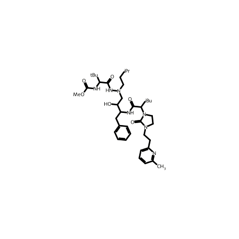 CCC(C)C(C(=O)NC(Cc1ccccc1)C(O)CN(CCC(C)C)NC(=O)C(NC(=O)OC)C(C)(C)C)N1CCN(CCc2cccc(C)n2)C1=O